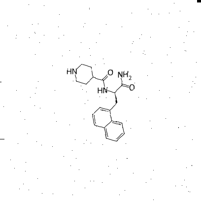 NC(=O)[C@@H](Cc1cccc2ccccc12)NC(=O)C1CCNCC1